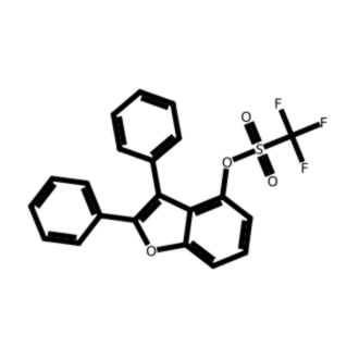 O=S(=O)(Oc1cccc2oc(-c3ccccc3)c(-c3ccccc3)c12)C(F)(F)F